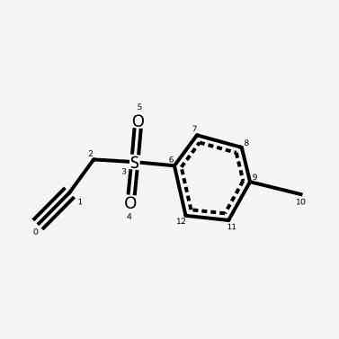 C#CCS(=O)(=O)c1ccc(C)cc1